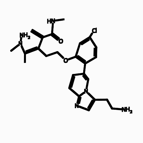 C=C(C(=O)NC)/C(CCOc1cc(Cl)ccc1-c1ccc2ncc(CCN)n2c1)=C(/C)N(C)N